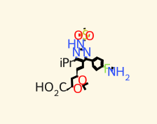 CC(C)c1nc(NCS(C)(=O)=O)nc(-c2ccc(F)cc2)c1/C=C/[C@@H]1C[C@H](CC(=O)O)OC(C)(C)O1.CN